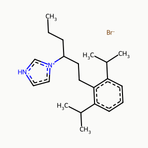 CCCC(CCc1c(C(C)C)cccc1C(C)C)[n+]1cc[nH]c1.[Br-]